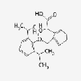 CC(C)c1cccc(C(C)C)c1OCc1ccccc1C(O)C(=O)O